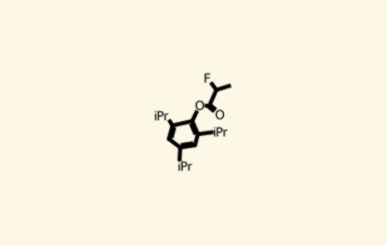 CC(F)C(=O)Oc1c(C(C)C)cc(C(C)C)cc1C(C)C